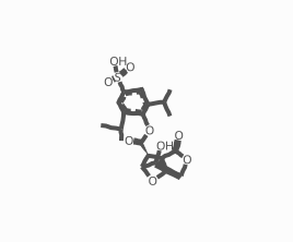 CC(C)c1cc(S(=O)(=O)O)cc(C(C)C)c1OC(=O)[C@H]1C2=C3OC1C(O)=C3OC2=O